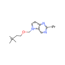 CC(C)c1ncc2c(ccn2COCC[Si](C)(C)C)n1